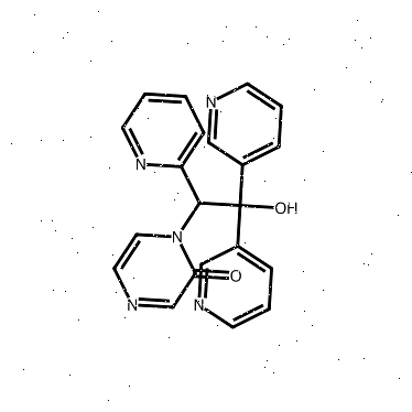 O=c1cnccn1C(c1ccccn1)C(O)(c1cccnc1)c1cccnc1